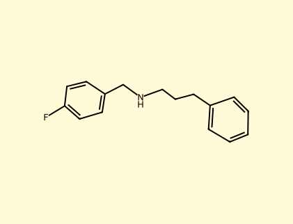 Fc1ccc(CNCCCc2ccccc2)cc1